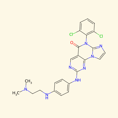 CN(C)CCNc1ccc(Nc2ncc3c(=O)n(-c4c(Cl)cccc4Cl)c4nccn4c3n2)cc1